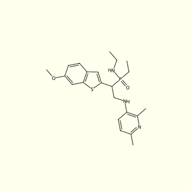 CCNP(=O)(CC)C(CNc1ccc(C)nc1C)c1cc2ccc(OC)cc2s1